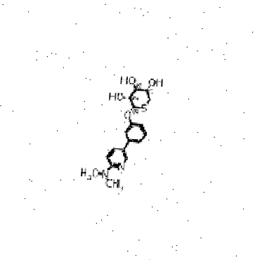 CN(C)c1ccc(-c2cccc(O[C@H]3SC[C@@H](O)[C@H](O)[C@H]3O)c2)cn1